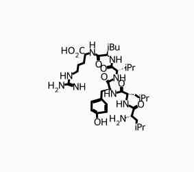 CC[C@H](C)[C@H](NC(=O)[C@@H](NC(=O)[C@H](Cc1ccc(O)cc1)NC(=O)[C@H](CC(C)C)NC(=O)[C@@H](N)CC(C)C)C(C)C)C(=O)N[C@@H](CCCNC(=N)N)C(=O)O